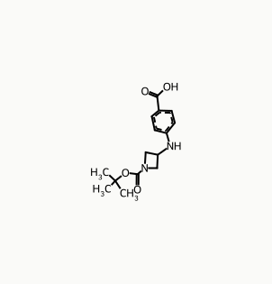 CC(C)(C)OC(=O)N1CC(Nc2ccc(C(=O)O)cc2)C1